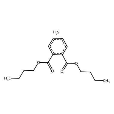 CCCCOC(=O)c1ccccc1C(=O)OCCCC.S